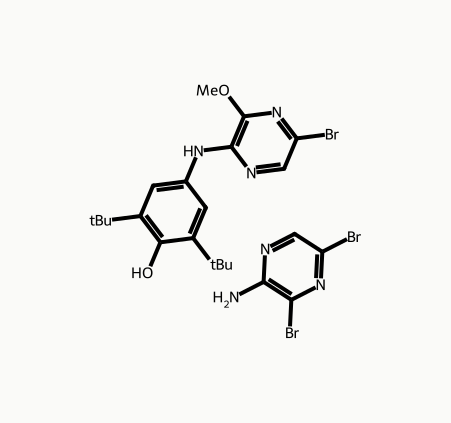 COc1nc(Br)cnc1Nc1cc(C(C)(C)C)c(O)c(C(C)(C)C)c1.Nc1ncc(Br)nc1Br